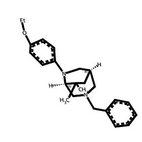 CCOc1ccc(N2C[C@H]3CN(Cc4ccccc4)C[C@@H]2C(C)(C)C3)cc1